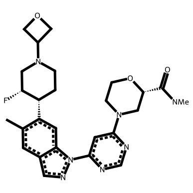 CNC(=O)[C@@H]1CN(c2cc(-n3ncc4cc(C)c([C@H]5CCN(C6COC6)C[C@H]5F)cc43)ncn2)CCO1